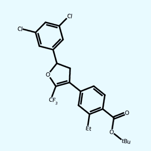 CCc1cc(C2=C(C(F)(F)F)OC(c3cc(Cl)cc(Cl)c3)C2)ccc1C(=O)OC(C)(C)C